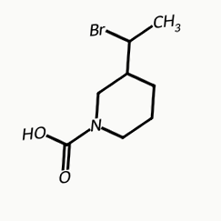 CC(Br)C1CCCN(C(=O)O)C1